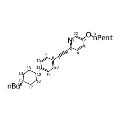 CCCCCOc1ccc(C#Cc2ccc([C@H]3CC[C@H](CCCC)CC3)cc2)nc1